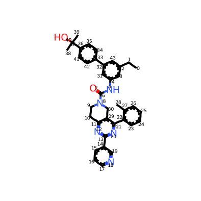 CCc1cc(NC(=O)N2CCc3nc(-c4cccnc4)nc(-c4ccccc4C)c3C2)cc(-c2ccc(C(C)(C)O)cc2)c1